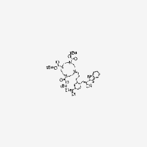 CCN(CC)c1ccc(/C=C(\C#N)c2nc3ccccc3s2)c(CCCN2CCN(C(=O)OC(C)(C)C)CCN(C(=O)OC(C)(C)C)CCN(C(=O)OC(C)(C)C)CC2)c1